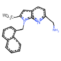 NCc1ccc2cc(C(=O)O)n(Cc3cccc4ccccc34)c2n1